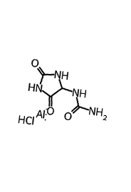 Cl.NC(=O)NC1NC(=O)NC1=O.[Al]